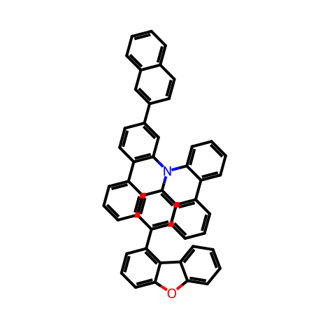 c1ccc(-c2ccccc2N(c2ccc(-c3cccc4oc5ccccc5c34)cc2)c2cc(-c3ccc4ccccc4c3)ccc2-c2ccccc2)cc1